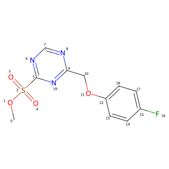 COS(=O)(=O)c1n[c]nc(COc2ccc(F)cc2)n1